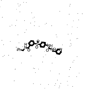 CC(C)CNC(=O)c1cccc(S(=O)(=O)c2ccc(NC(=O)NCc3cccnc3)cc2)c1